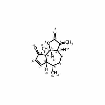 C=C1C(=O)O[C@@H]2[C@H]1CC[C@H](C)[C@@H]1C=CC(=O)[C@@]21C